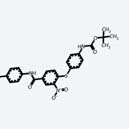 CC(C)(C)OC(=O)Nc1ccc(Sc2ccc(C(=O)Nc3ccc(Br)cc3)cc2[N+](=O)[O-])cc1